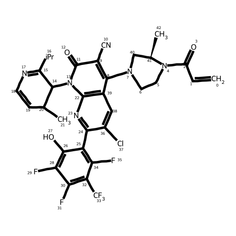 C=CC(=O)N1CCN(c2c(C#N)c(=O)n(C3C(C(C)C)=NC=CC3C)c3nc(-c4c(O)c(F)c(F)c(C(F)(F)F)c4F)c(Cl)cc23)C[C@H]1C